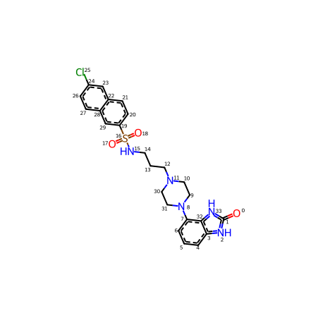 O=c1[nH]c2cccc(N3CCN(CCCNS(=O)(=O)c4ccc5cc(Cl)ccc5c4)CC3)c2[nH]1